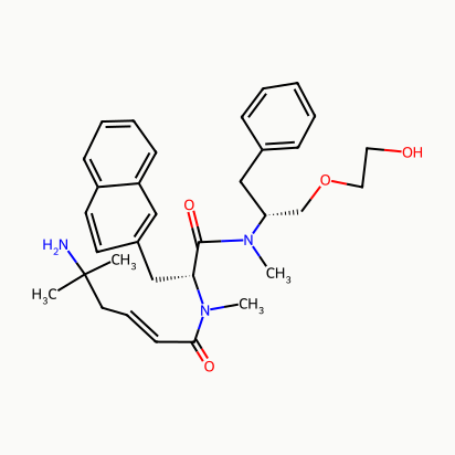 CN(C(=O)[C@@H](Cc1ccc2ccccc2c1)N(C)C(=O)/C=C/CC(C)(C)N)[C@@H](COCCO)Cc1ccccc1